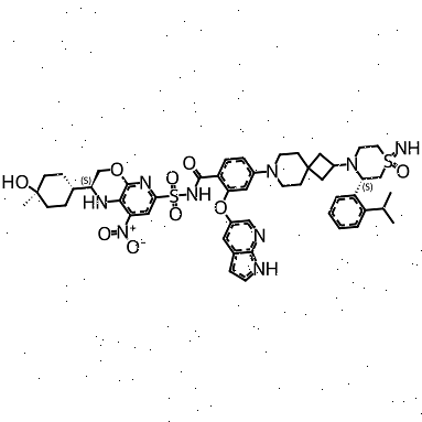 CC(C)c1ccccc1[C@H]1CS(=N)(=O)CCN1C1CC2(CCN(c3ccc(C(=O)NS(=O)(=O)c4cc([N+](=O)[O-])c5c(n4)OC[C@H]([C@H]4CC[C@](C)(O)CC4)N5)c(Oc4cnc5[nH]ccc5c4)c3)CC2)C1